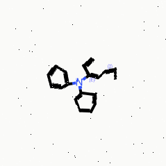 C=C/C(=C\C=C/C)N(c1ccccc1)c1ccccc1